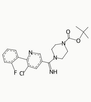 CC(C)(C)OC(=O)N1CCN(C(=N)c2cnc(-c3ccccc3F)c(Cl)c2)CC1